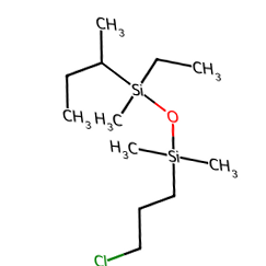 CCC(C)[Si](C)(CC)O[Si](C)(C)CCCCl